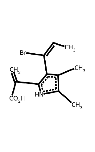 C=C(C(=O)O)c1[nH]c(C)c(C)c1/C(Br)=C\C